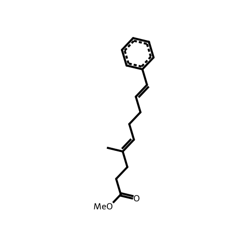 COC(=O)CC/C(C)=C/CC/C=C/c1ccccc1